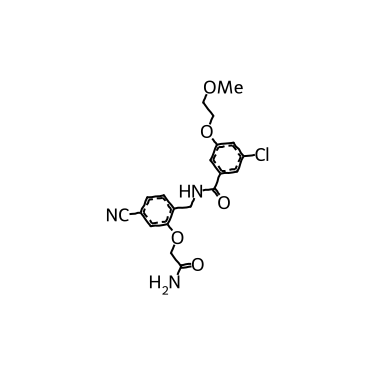 COCCOc1cc(Cl)cc(C(=O)NCc2ccc(C#N)cc2OCC(N)=O)c1